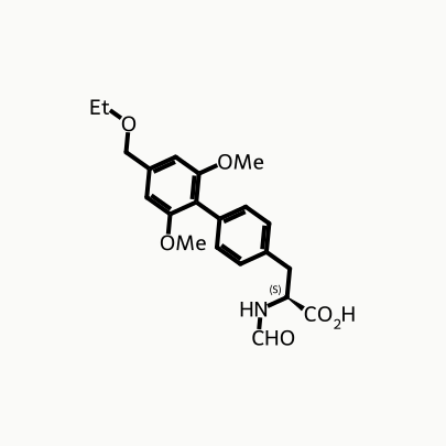 CCOCc1cc(OC)c(-c2ccc(C[C@H](NC=O)C(=O)O)cc2)c(OC)c1